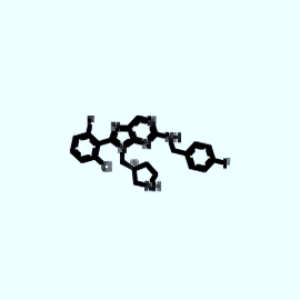 Fc1ccc(CNc2ncc3nc(-c4c(F)cccc4Cl)n(C[C@H]4CCNC4)c3n2)cc1